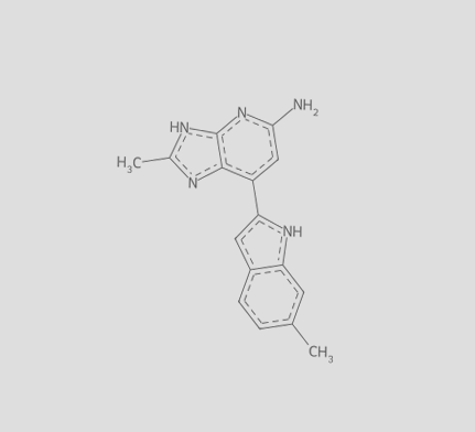 Cc1ccc2cc(-c3cc(N)nc4[nH]c(C)nc34)[nH]c2c1